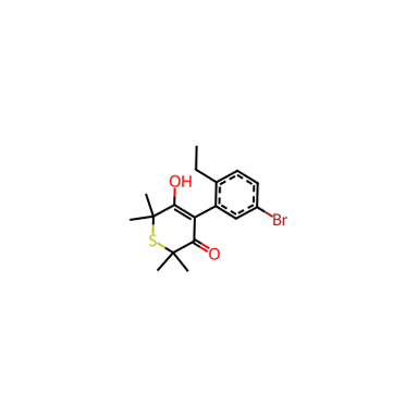 CCc1ccc(Br)cc1C1=C(O)C(C)(C)SC(C)(C)C1=O